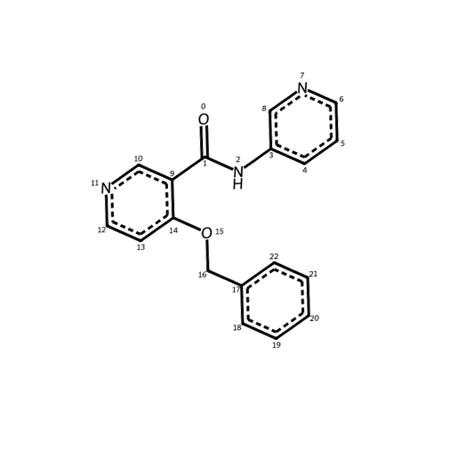 O=C(Nc1cccnc1)c1cnccc1OCc1ccccc1